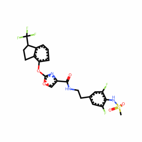 CS(=O)(=O)Nc1c(F)cc(CCNC(=O)c2coc(Oc3cccc4c3CCC4C(F)(F)F)n2)cc1F